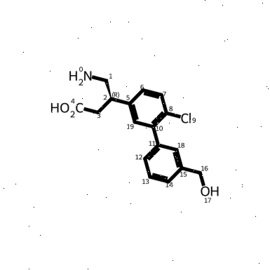 NC[C@H](CC(=O)O)c1ccc(Cl)c(-c2cccc(CO)c2)c1